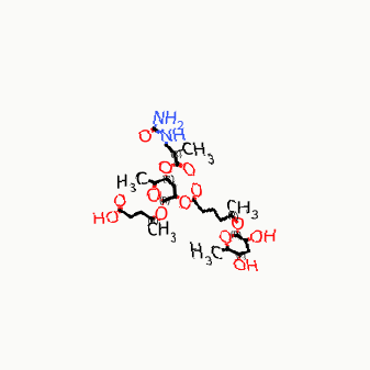 CC1O[C@@H](O[C@H](C)CCCC(=O)OC2C[C@@H](OC(=O)[C@H](C)CNC(N)=O)C(C)O[C@H]2O[C@H](C)CCC(=O)O)C(O)C[C@H]1O